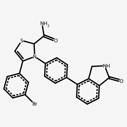 NC(=O)C1SC=C(c2cccc(Br)c2)N1c1ccc(-c2cccc3c2CNC3=O)cc1